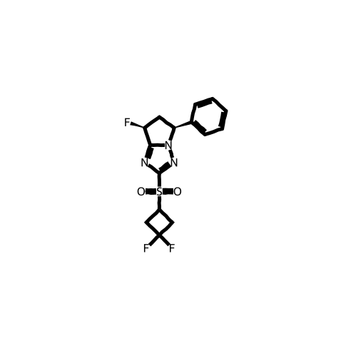 O=S(=O)(c1nc2n(n1)[C@H](c1ccccc1)C[C@@H]2F)C1CC(F)(F)C1